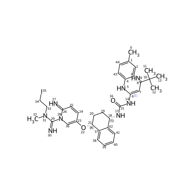 Cc1ccc(N/C(=C\C(=N)C(C)(C)C)NC(=O)N[C@H]2CC[C@@H](Oc3ccc(=N)n(C(=N)N(C)CCI)c3)c3ccccc32)cc1